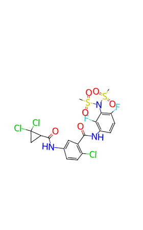 CS(=O)(=O)N(c1c(F)ccc(NC(=O)c2cc(NC(=O)C3CC3(Cl)Cl)ccc2Cl)c1F)S(C)(=O)=O